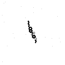 CCCCCC1CCc2cc(C(=O)Oc3ccc(OCCC)cc3)ccc2C1